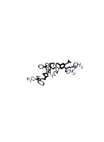 C=C/C(=C\C=C(/C)F)c1cc(OCC)c(CN2CCC3(CC2)CN(C2CC(CSC(C)=O)C2)C(=O)O3)cc1C1CC1